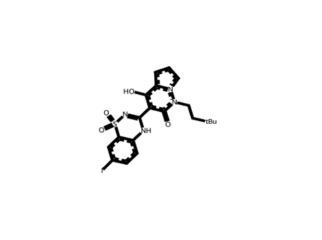 CC(C)(C)CCn1c(=O)c(C2=NS(=O)(=O)c3cc(I)ccc3N2)c(O)c2cccn21